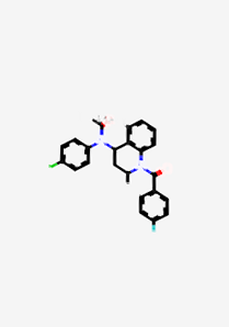 CCC(=O)N(c1ccc(Cl)cc1)C1CC(C)N(C(=O)c2ccc(F)cc2)c2cccc(OC)c21